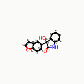 O=C1Nc2ccccc2C1(O)c1ccc2occc2c1